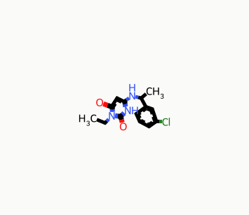 CCn1c(=O)cc(NC(C)c2cccc(Cl)c2)[nH]c1=O